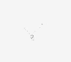 COCCOCOc1cc2c(cc1OCOCCOC)=NC(C)(S)N=2